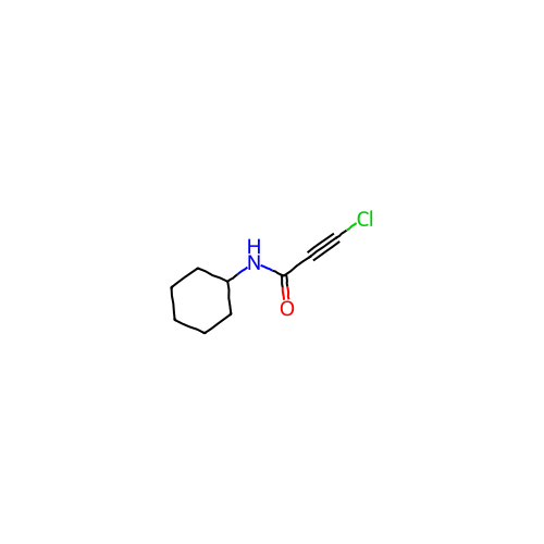 O=C(C#CCl)NC1CCCCC1